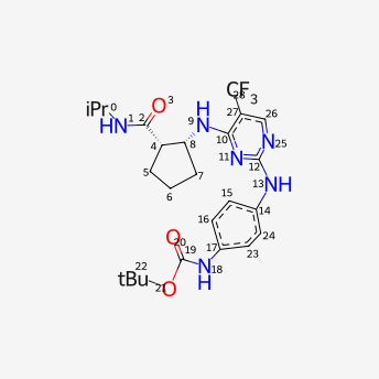 CC(C)NC(=O)[C@H]1CCC[C@H]1Nc1nc(Nc2ccc(NC(=O)OC(C)(C)C)cc2)ncc1C(F)(F)F